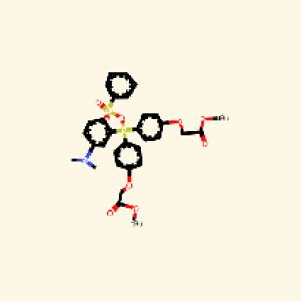 CN(C)c1cccc(S(OS(=O)(=O)c2ccccc2)(c2ccc(OCC(=O)OC(C)(C)C)cc2)c2ccc(OCC(=O)OC(C)(C)C)cc2)c1